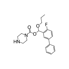 CCCOC(OC(=O)N1CCNCC1)c1cc(-c2ccccc2)ccc1F